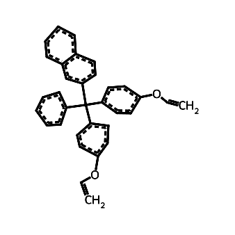 C=COc1ccc(C(c2ccccc2)(c2ccc(OC=C)cc2)c2ccc3ccccc3c2)cc1